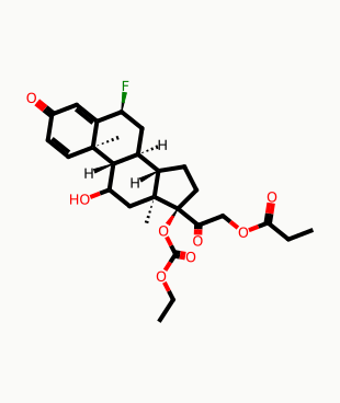 CCOC(=O)O[C@]1(C(=O)COC(=O)CC)CC[C@H]2[C@@H]3C[C@H](F)C4=CC(=O)C=C[C@]4(C)[C@H]3C(O)C[C@@]21C